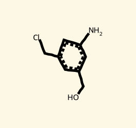 Nc1cc(CO)cc(CCl)c1